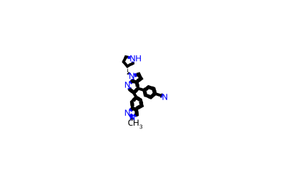 Cn1cc2ccc(-c3cnc4c(ccn4C[C@@H]4CCNC4)c3-c3ccc(C#N)cc3)cc2n1